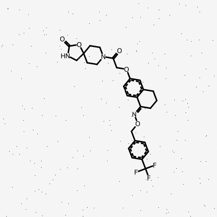 O=C1NCC2(CCN(C(=O)COc3ccc4c(c3)CCCC4=NOCc3ccc(C(F)(F)F)cc3)CC2)O1